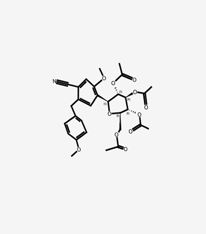 COc1ccc(Cc2cc([C@@H]3O[C@H](COC(C)=O)[C@@H](OC(C)=O)[C@H](OC(C)=O)[C@H]3OC(C)=O)c(OC)cc2C#N)cc1